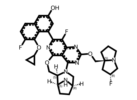 Oc1cc(-c2nc3c4c(nc(OC[C@@]56CCCN5C[C@H](F)C6)nc4c2F)N2C[C@H]4CC[C@H](N4)[C@H]2CO3)c2c(OC3CC3)c(F)ccc2c1